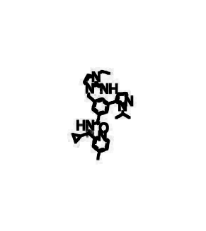 CCn1ccn(Cc2cc(C(=O)N[C@@H](c3cc(C)ccn3)C3CC3)cc(-c3ccnn3C(C)C)c2)c1=N